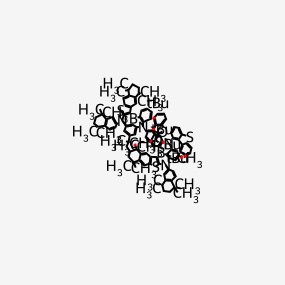 Cc1cc2c3c(c1)N(c1cccc4sc5ccc(C(C)(C)C)cc5c14)c1cc(C(C)(C)C)ccc1B3c1c(sc3cc4c(cc13)C(C)(C)C(CC(C)(C)c1cc3c5c(c1)N(c1ccc(C(C)(C)C)c6oc7ccccc7c16)c1ccc(C(C)(C)C)cc1B5c1c(sc5cc6c(cc15)C(C)(C)CCC6(C)C)N3c1ccc3c(c1)C(C)(C)CCC3(C)C)CC4(C)C)N2c1ccc2c(c1)C(C)(C)CCC2(C)C